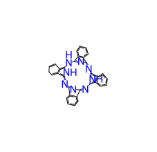 C1=Cc2c3[nH]c(c2=CC1)=NC1=NC(=Nc2[nH]c(c4ccccc24)N=C2N=C(N3)c3ccccc32)c2ccccc21